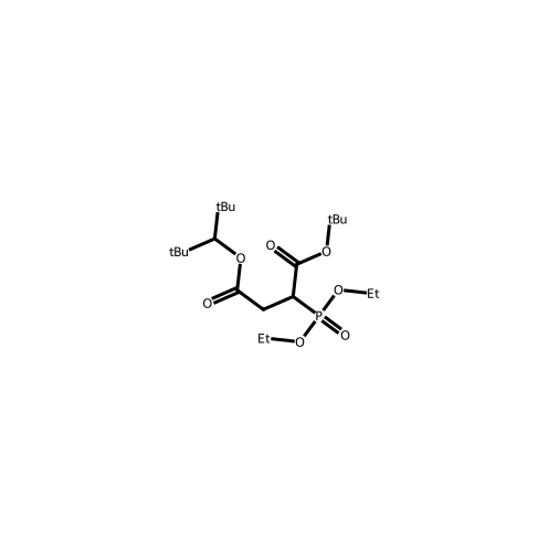 CCOP(=O)(OCC)C(CC(=O)OC(C(C)(C)C)C(C)(C)C)C(=O)OC(C)(C)C